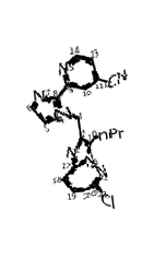 CCCc1c(Cn2ccnc2-c2cc(C#N)ccn2)nc2ccc(Cl)nn12